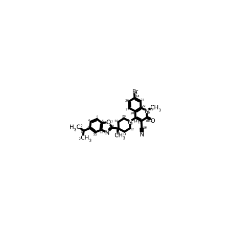 CC(C)c1ccc2oc(C3(C)CCN(c4c(C#N)c(=O)n(C)c5cc(Br)ccc45)CC3)nc2c1